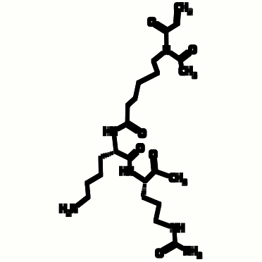 C=CC(=O)N(CCCCCC(=O)N[C@@H](CCCCN)C(=O)N[C@@H](CCCNC(N)=O)C(C)=O)C(C)=O